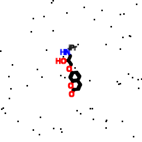 CC(C)NCC(O)COc1ccc2ccc(=O)oc2c1